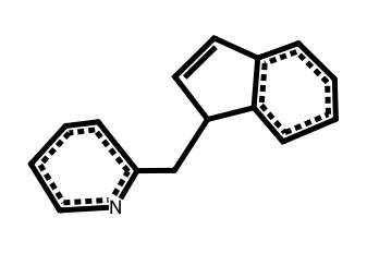 C1=CC(Cc2ccccn2)c2ccccc21